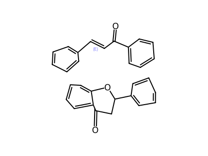 O=C(/C=C/c1ccccc1)c1ccccc1.O=C1CC(c2ccccc2)Oc2ccccc21